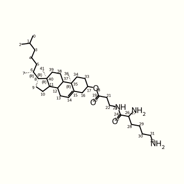 CC(C)CCC[C@@H](C)[C@H]1CCC2C3CC=C4CC(OC(=O)CCNC(=O)C(N)CCCCN)CC[C@]4(C)C3CC[C@@]21C